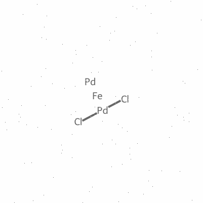 [Cl][Pd][Cl].[Fe].[Pd]